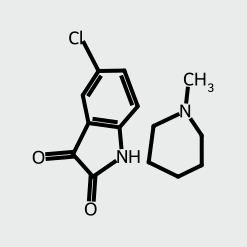 CN1CCCCC1.O=C1Nc2ccc(Cl)cc2C1=O